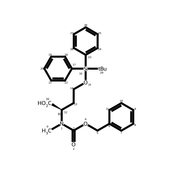 CN(C(=O)OCc1ccccc1)[C@H](CCO[Si](c1ccccc1)(c1ccccc1)C(C)(C)C)C(=O)O